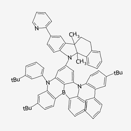 CC(C)(C)c1cccc(N2c3cc(C(C)(C)C)ccc3B3c4ccccc4N(c4ccc(C(C)(C)C)cc4-c4ccccc4)c4cc(N5c6ccc(-c7ccccn7)cc6C6(C)CCc7ccccc7C56C)cc2c43)c1